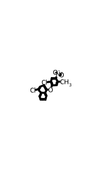 Cc1cc(Oc2ccc(Cl)c3ccccc23)c(Cl)cc1[N+](=O)[O-]